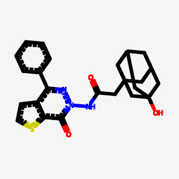 O=C(CC12CC3CC(CC(O)(C3)C1)C2)Nn1nc(-c2ccccc2)c2ccsc2c1=O